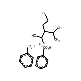 CC(C)CCC(C(C)O)C(C)O.O=C(O)c1ccccc1.O=C(O)c1ccccc1